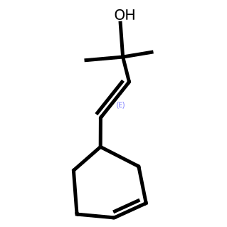 CC(C)(O)/C=C/C1CC=CCC1